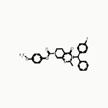 Cc1nc2c(c(=O)n1C(c1ccccc1)c1ccc(F)cc1)CCN(C(=O)Oc1ccc(OC(F)(F)F)cc1)C2